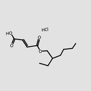 CCCCC(CC)COC(=O)C=CC(=O)O.Cl